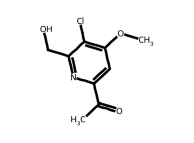 COc1cc(C(C)=O)nc(CO)c1Cl